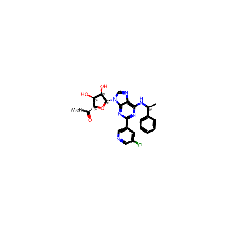 CNC(=O)[C@H]1O[C@@H](n2cnc3c(N[C@@H](C)c4ccccc4)nc(-c4cncc(Cl)c4)nc32)[C@H](O)[C@@H]1O